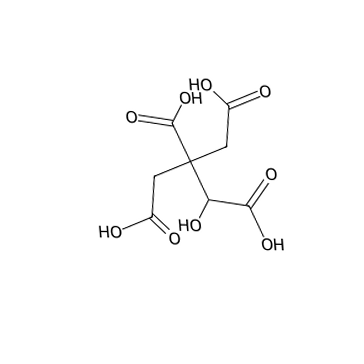 O=C(O)CC(CC(=O)O)(C(=O)O)C(O)C(=O)O